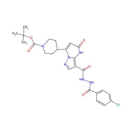 CC(C)(C)OC(=O)N1CCC(c2cc(=O)[nH]c3c(C(=O)NNC(=O)c4ccc(Cl)cc4)cnn23)CC1